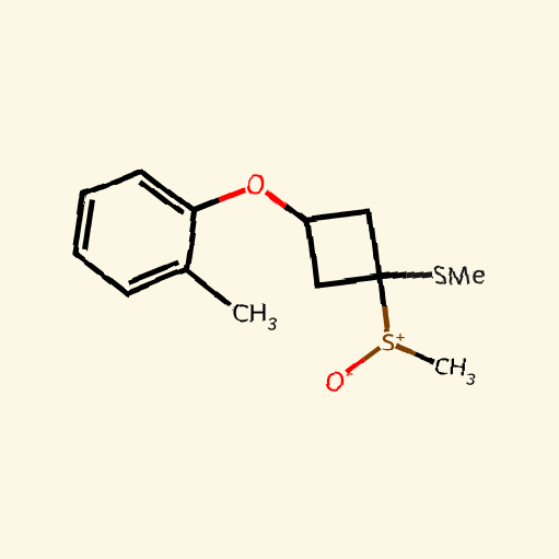 CSC1([S+](C)[O-])CC(Oc2ccccc2C)C1